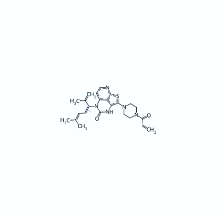 C=CC(=O)N1CCN(c2sc3nccc4c3c2NC(=O)N4/C(=C/C=C(C)C)C(=C)C)CC1